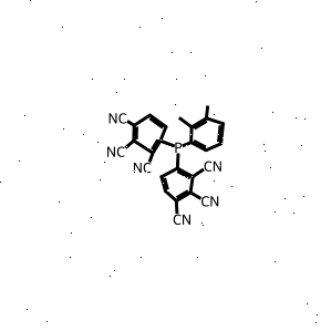 Cc1cccc(P(c2ccc(C#N)c(C#N)c2C#N)c2ccc(C#N)c(C#N)c2C#N)c1C